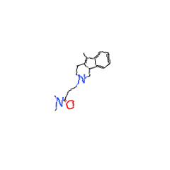 CC1=C2CCN(CCC(=O)N(C)C)CC2c2ccccc21